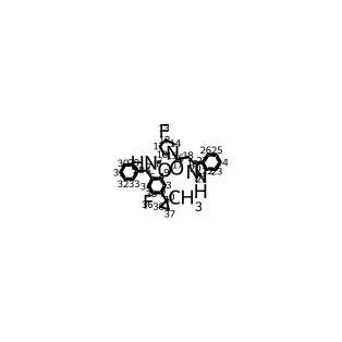 CC1(c2ccc([C@@H](NC(=O)[C@@H]3C[C@@H](F)CN3C(=O)Cc3n[nH]c4ccccc34)c3ccccc3)cc2F)CC1